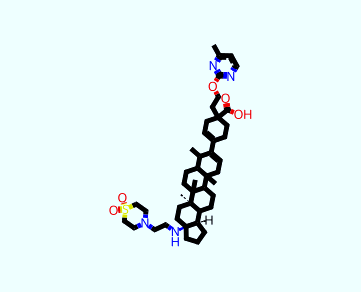 Cc1ccnc(OCCC2(C(=O)O)CC=C(C3=CCC4(C)C(CCC5(C)C4CCC4[C@H]6CCC[C@]6(NCCN6CCS(=O)(=O)CC6)CC[C@]45C)C3C)CC2)n1